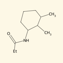 CCC(=O)NC1CCCC(C)C1C